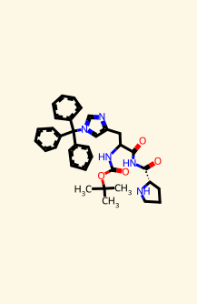 CC(C)(C)OC(=O)NC(Cc1cn(C(c2ccccc2)(c2ccccc2)c2ccccc2)cn1)C(=O)NC(=O)[C@@H]1CCCN1